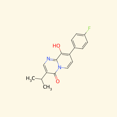 CC(C)c1cnc2c(O)c(-c3ccc(F)cc3)ccn2c1=O